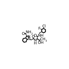 C[C@H](O)[C@H](NC(=O)Cn1nc(C(N)=O)c2ccccc21)C(=O)NCc1cccc(Cl)c1F